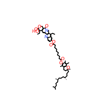 CCc1c2c(nc3ccc(OC(=O)CCCCCCCCC(=O)Oc4c(C)c(C)c5c(c4C)CC[C@@](C)(CCC[C@H](C)CCC[C@H](C)CCCC(C)C)O5)cc13)-c1cc3c(c(=O)n1C2)COC(=O)[C@]3(O)CC